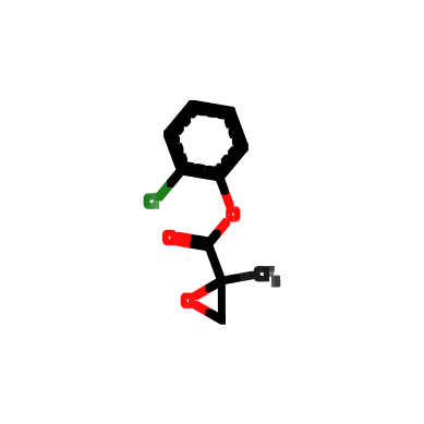 O=C(Oc1ccccc1Cl)C1(C(F)(F)F)CO1